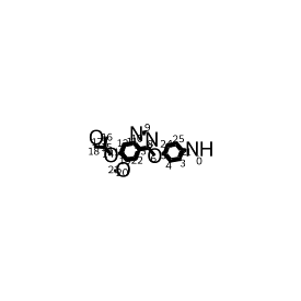 CNc1ccc(Oc2ncnc3cc(OC4COC4)c(OC)cc23)cc1